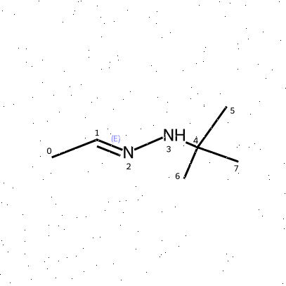 C/C=N/NC(C)(C)C